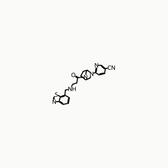 N#Cc1ccc(N2CC3CCC2CN3C(=O)CCNCc2cccc3ncsc23)nc1